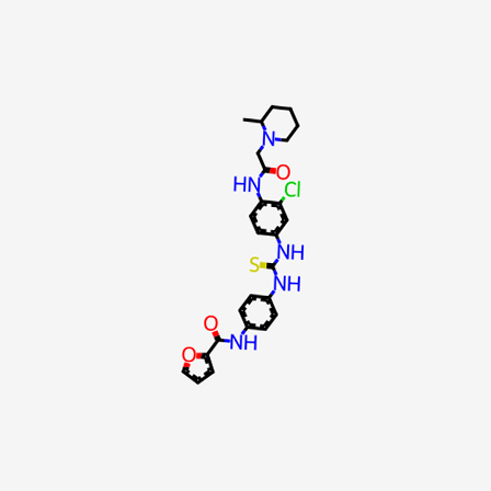 CC1CCCCN1CC(=O)Nc1ccc(NC(=S)Nc2ccc(NC(=O)c3ccco3)cc2)cc1Cl